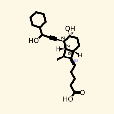 CC1/C(=C\CCCC(=O)O)[C@H]2CC[C@@H](O)[C@H](C#CC(O)C3CCCCC3)[C@@H]12